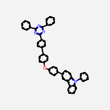 c1ccc(-c2nc(-c3ccccc3)nc(-c3ccc(-c4ccc(Oc5ccc(-c6ccc7c(c6)c6ccccc6n7-c6ccccc6)cc5)cc4)cc3)n2)cc1